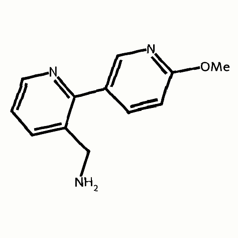 COc1ccc(-c2ncccc2CN)cn1